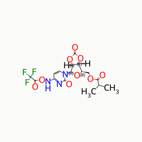 CC(C)C(=O)OC[C@H]1O[C@@H](n2ccc(NOC(=O)C(F)(F)F)nc2=O)[C@@H]2OC(=O)O[C@@H]21